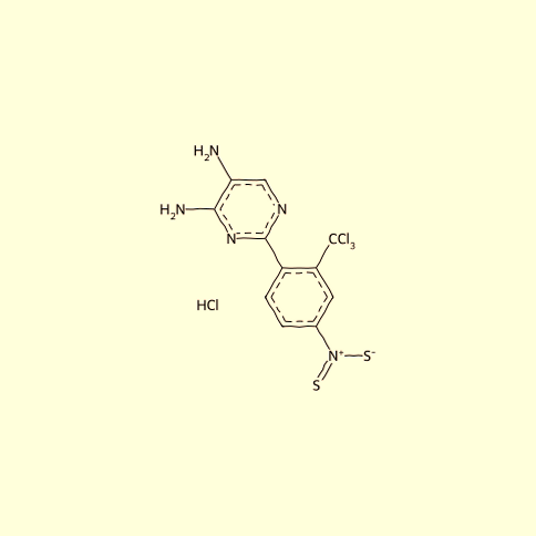 Cl.Nc1cnc(-c2ccc([N+](=S)[S-])cc2C(Cl)(Cl)Cl)nc1N